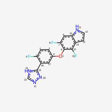 Fc1ccc(Oc2c(F)cc3[nH]ccc3c2F)cc1-c1nnc[nH]1